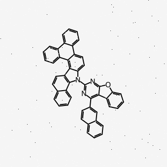 c1ccc2cc(-c3nc(-n4c5ccc6c7ccccc7c7ccccc7c6c5c5ccc6ccccc6c54)nc4oc5ccccc5c34)ccc2c1